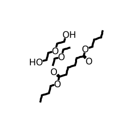 CCCCOC(=O)CCCCC(=O)OCCCC.CCOCC.OCCOCCO